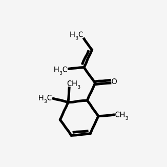 C/C=C(\C)C(=O)C1C(C)C=CCC1(C)C